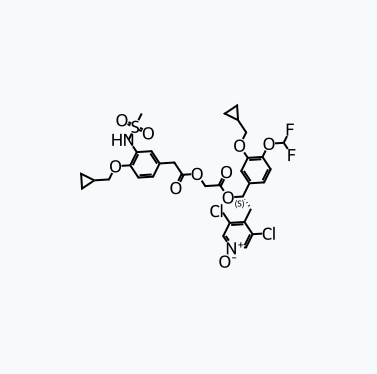 CS(=O)(=O)Nc1cc(CC(=O)OCC(=O)O[C@@H](Cc2c(Cl)c[n+]([O-])cc2Cl)c2ccc(OC(F)F)c(OCC3CC3)c2)ccc1OCC1CC1